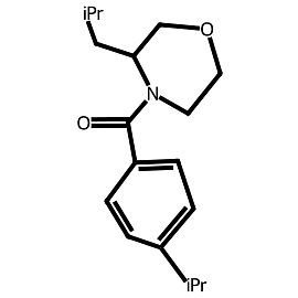 CC(C)CC1COCCN1C(=O)c1ccc(C(C)C)cc1